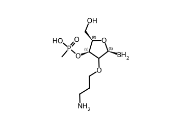 B[C@@H]1O[C@H](CO)[C@H](OP(C)(=O)O)C1OCCCN